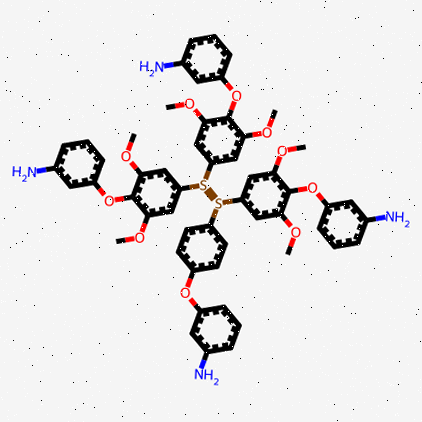 COc1cc(S(c2ccc(Oc3cccc(N)c3)cc2)=S(c2cc(OC)c(Oc3cccc(N)c3)c(OC)c2)c2cc(OC)c(Oc3cccc(N)c3)c(OC)c2)cc(OC)c1Oc1cccc(N)c1